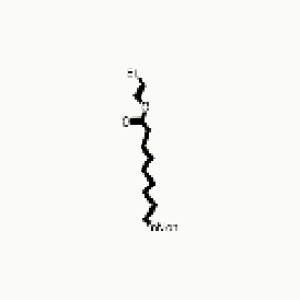 CC/C=C/OC(=O)CCCCCCCCCCCCCCCCC